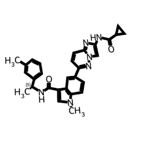 Cc1cccc([C@H](C)NC(=O)c2cn(C)c3ccc(-c4ccc5nc(NC(=O)C6CC6)cn5n4)cc23)c1